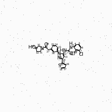 O=C(Nc1cccc(Cl)c1Cl)Nc1cc(-c2cccs2)nn1-c1cccc(CC(=O)N2CC[C@H](O)C2)c1